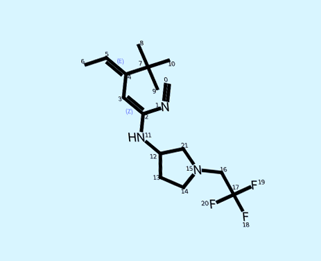 C=N/C(=C\C(=C/C)C(C)(C)C)NC1CCN(CC(F)(F)F)C1